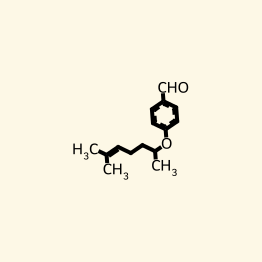 CC(C)=CCCC(C)Oc1ccc(C=O)cc1